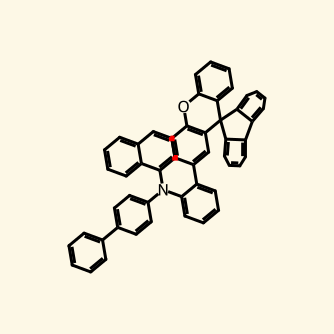 c1ccc(-c2ccc(N(c3ccccc3-c3ccc4c(c3)C3(c5ccccc5O4)c4ccccc4-c4ccccc43)c3cccc4ccccc34)cc2)cc1